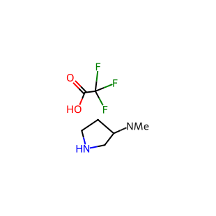 CNC1CCNC1.O=C(O)C(F)(F)F